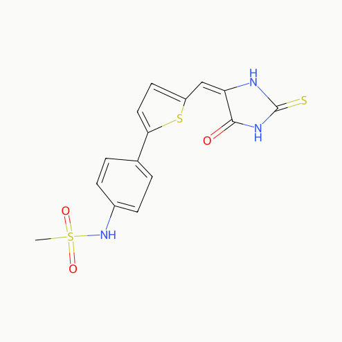 CS(=O)(=O)Nc1ccc(-c2ccc(C=C3NC(=S)NC3=O)s2)cc1